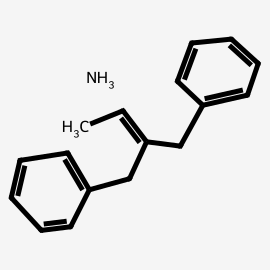 CC=C(Cc1ccccc1)Cc1ccccc1.N